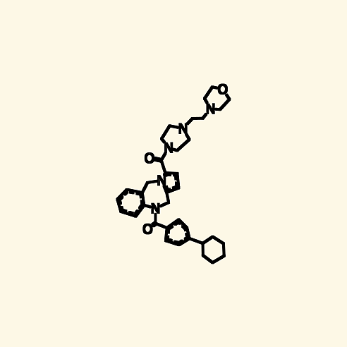 O=C(c1ccc2n1Cc1ccccc1N(C(=O)c1ccc(C3CCCCC3)cc1)C2)N1CCN(CCN2CCOCC2)CC1